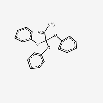 C[SiH2]C(Oc1ccccc1)(Oc1ccccc1)Oc1ccccc1